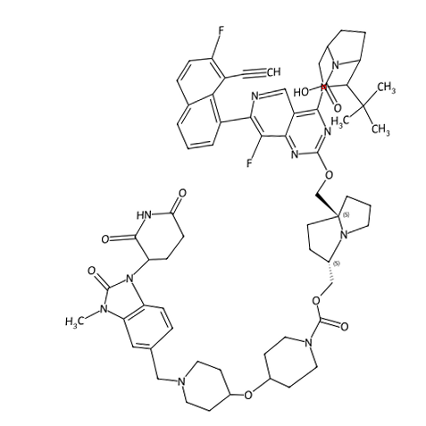 C#Cc1c(F)ccc2cccc(-c3ncc4c(N5CC6CCC(C5C(C)(C)C)N6C(=O)O)nc(OC[C@@]56CCCN5[C@H](COC(=O)N5CCC(OC7CCN(Cc8ccc9c(c8)n(C)c(=O)n9C8CCC(=O)NC8=O)CC7)CC5)CC6)nc4c3F)c12